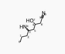 CCCC(=N)CC(O)CC#N